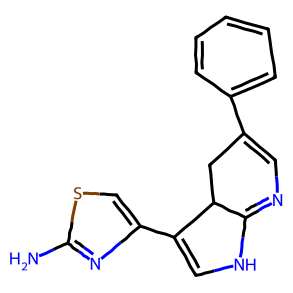 Nc1nc(C2=CNC3=NC=C(c4ccccc4)CC23)cs1